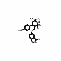 COc1ccc(C2=C(COc3ccc4c(c3)C(=O)NC4)C(C)(C)NC(C)(C)C2)cc1